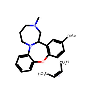 COc1ccc2c(c1)C1CN(C)CCCN1c1ccccc1O2.O=C(O)/C=C\C(=O)O